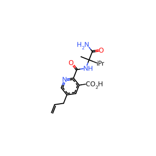 C=CCc1cnc(C(=O)NC(C)(C(N)=O)C(C)C)c(C(=O)O)c1